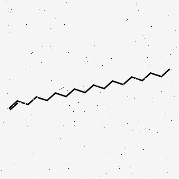 [CH]=CCCCCCCCCCCCCCCC[CH2]